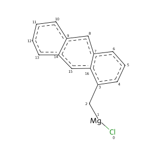 [Cl][Mg][CH2]c1cccc2cc3ccccc3cc12